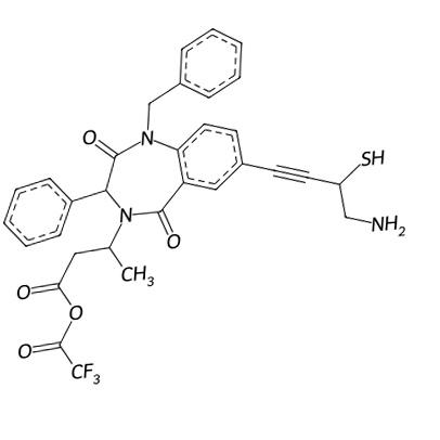 CC(CC(=O)OC(=O)C(F)(F)F)N1C(=O)c2cc(C#CC(S)CN)ccc2N(Cc2ccccc2)C(=O)C1c1ccccc1